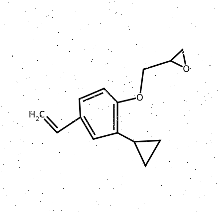 C=Cc1ccc(OCC2CO2)c(C2CC2)c1